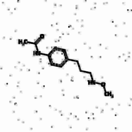 CONCCCc1ccc(NC(C)=O)cc1